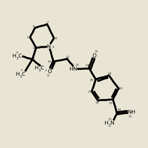 CC(C)(C)C1C[CH]CCN1C(=O)CNC(=O)c1ccc(C(=N)N)cc1